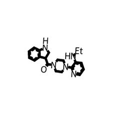 CCNc1cccnc1N1CCN(C(=O)C2CNc3ccccc32)CC1